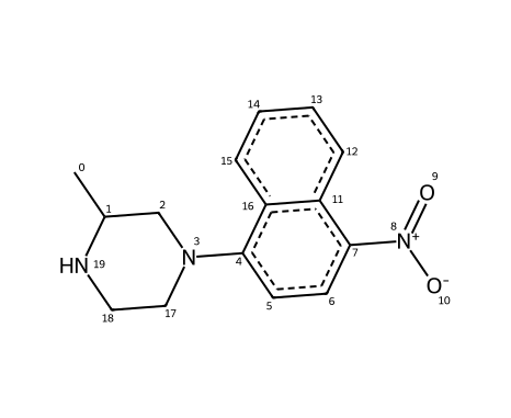 CC1CN(c2ccc([N+](=O)[O-])c3ccccc23)CCN1